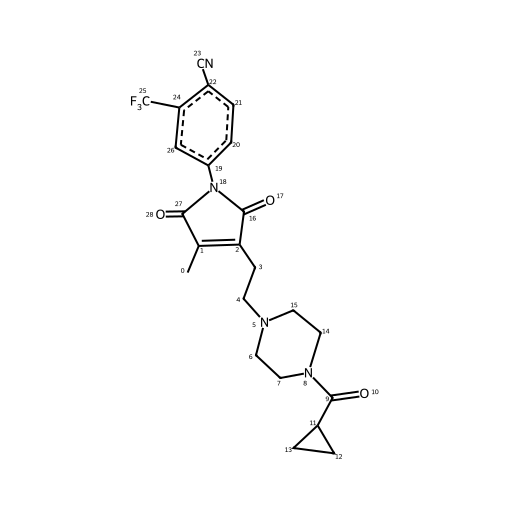 CC1=C(CCN2CCN(C(=O)C3CC3)CC2)C(=O)N(c2ccc(C#N)c(C(F)(F)F)c2)C1=O